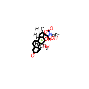 CCCN1C(=O)O[C@@]2([C@@H](C)C[C@H]3[C@@H]4CCC5=CC(=O)C=C[C@]5(C)[C@@]4(F)[C@@H](O)C[C@@]32C)C1(O)CO